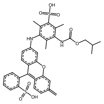 C=c1ccc2c(c1)Oc1cc(Nc3c(C)c(NC(=O)OCC(C)C)c(C)c(S(=O)(=O)O)c3C)ccc1C=2c1ccccc1S(=O)(=O)O